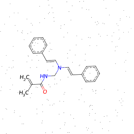 C=C(C)C(=O)NCN(C=Cc1ccccc1)C=Cc1ccccc1